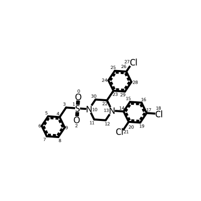 O=S(=O)(Cc1ccccc1)N1CCN(c2ccc(Cl)cc2Cl)C(c2ccc(Cl)cc2)C1